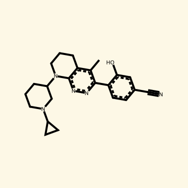 Cc1c(-c2ccc(C#N)cc2O)nnc2c1CCCN2C1CCCN(C2CC2)C1